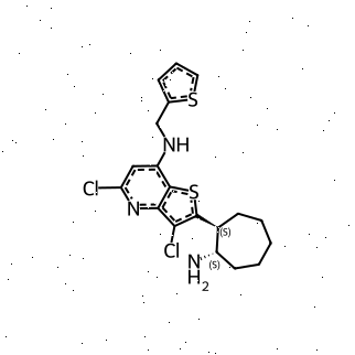 N[C@H]1CCCCC[C@@H]1c1sc2c(NCc3cccs3)cc(Cl)nc2c1Cl